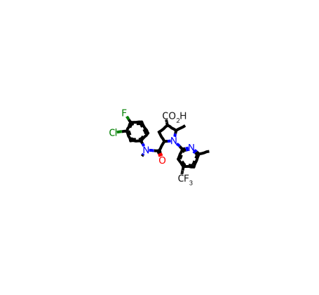 Cc1cc(C(F)(F)F)cc(N2C(C(=O)N(C)c3ccc(F)c(Cl)c3)CC(C(=O)O)C2C)n1